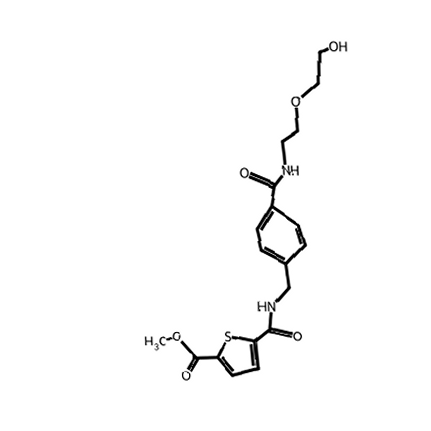 COC(=O)c1ccc(C(=O)NCc2ccc(C(=O)NCCOCCO)cc2)s1